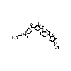 Cc1cc(Nc2nccn3c(-c4ccc(OCC#N)c(F)c4Cl)cnc23)ccc1C(=O)N1CCN(C(=O)NCCN)CC1